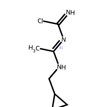 C/C(=N\C(=N)Cl)NCC1CC1